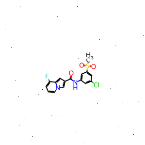 CS(=O)(=O)c1cc(Cl)cc(NC(=O)c2cc3c(F)cccn3c2)c1